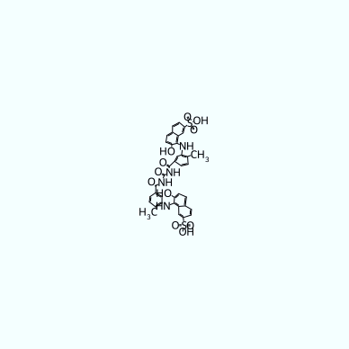 Cc1ccc(C(=O)NC(=O)NC(=O)c2ccc(C)c(Nc3c(O)ccc4ccc(S(=O)(=O)O)cc34)c2)cc1Nc1c(O)ccc2ccc(S(=O)(=O)O)cc12